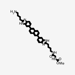 COC(=O)NCC(=O)NCCCCc1nc2ccc(-c3ccc4cc(-c5ccc6nc(CCCCN)[nH]c6c5)ccc4c3)cc2[nH]1